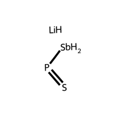 S=[P][SbH2].[LiH]